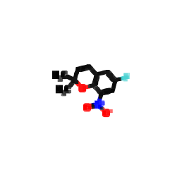 CC1(C)C=Cc2cc(F)cc([N+](=O)[O-])c2O1